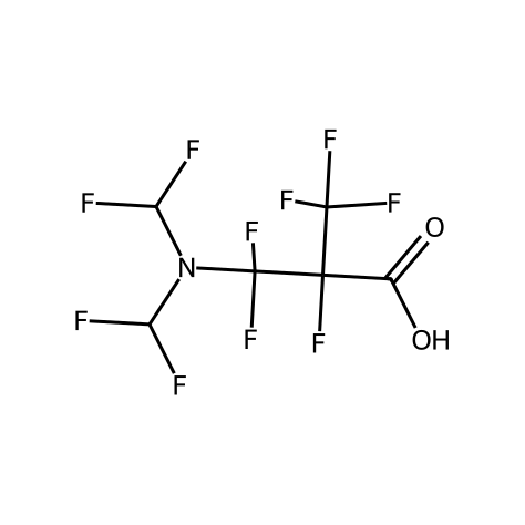 O=C(O)C(F)(C(F)(F)F)C(F)(F)N(C(F)F)C(F)F